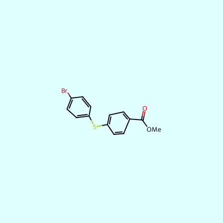 COC(=O)c1ccc(Sc2ccc(Br)cc2)cc1